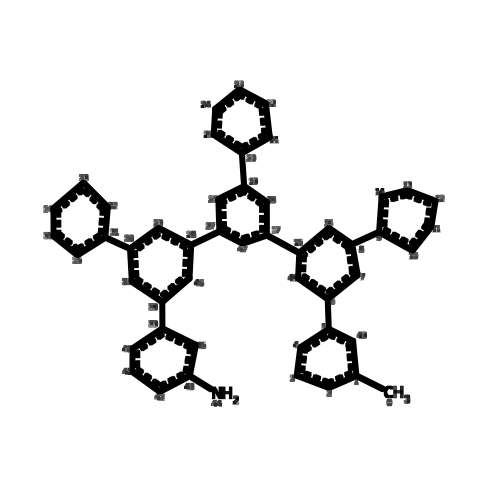 Cc1cccc(-c2cc(-c3ccccc3)cc(-c3cc(-c4ccccc4)cc(-c4cc(-c5ccccc5)cc(-c5cccc(N)c5)c4)c3)c2)c1